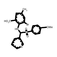 COc1ccc(S(=O)(=O)C(Nc2c(Br)cc(C)cc2C(=O)O)c2cccnc2)cc1